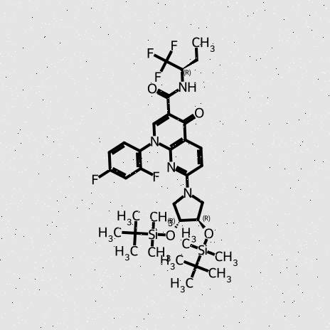 CC[C@@H](NC(=O)c1cn(-c2ccc(F)cc2F)c2nc(N3C[C@@H](O[Si](C)(C)C(C)(C)C)[C@H](O[Si](C)(C)C(C)(C)C)C3)ccc2c1=O)C(F)(F)F